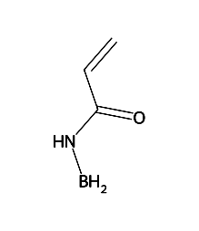 BNC(=O)C=C